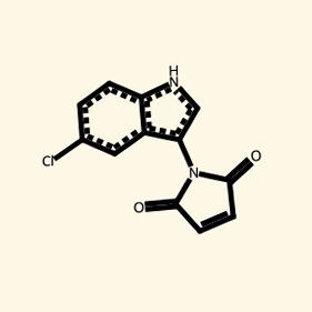 O=C1C=CC(=O)N1c1c[nH]c2ccc(Cl)cc12